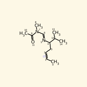 C/C=C\CC(N=CN(C)C(C)=O)C(C)C